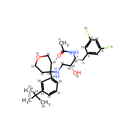 CC(=O)N[C@H](Cc1cc(F)cc(F)c1)[C@H](O)CNC1(c2cccc(C(C)(C)C)c2)CCOCC1